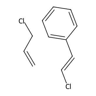 C=CCCl.ClC=Cc1ccccc1